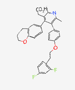 Cc1nc(C)c(-c2ccc(OCCc3ccc(F)cc3F)cc2)c(-c2ccc3c(c2)CCCO3)c1CC(=O)O